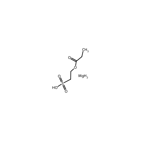 CCC(=O)OCCS(=O)(=O)O.[MgH2]